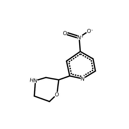 O=[N+]([O-])c1ccnc(C2CNCCO2)c1